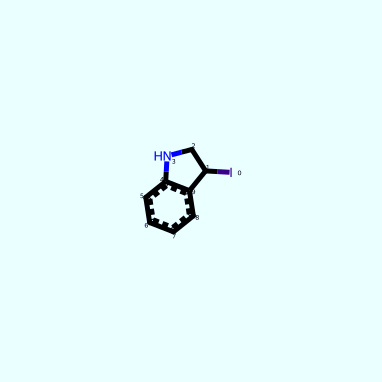 IC1CNc2ccccc21